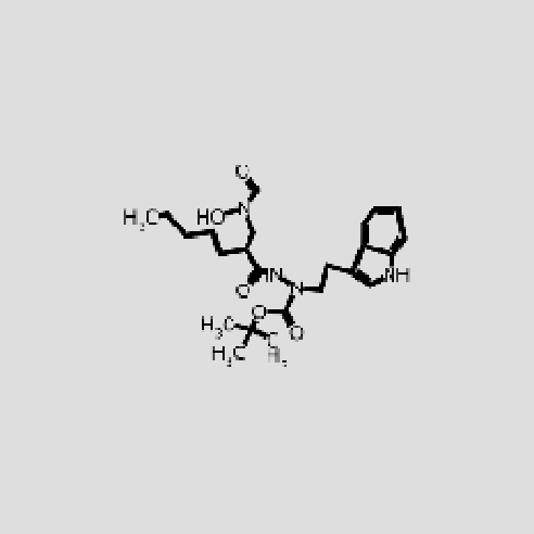 CCCCCC(CN(O)C=O)C(=O)NN(CCc1c[nH]c2ccccc12)C(=O)OC(C)(C)C